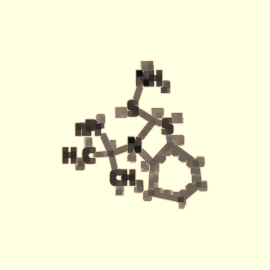 CCCC(C)(C)N1c2ccccc2SC1SN